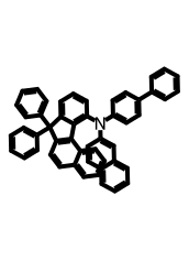 c1ccc(-c2ccc(N(c3ccc4ccccc4c3)c3cccc4c3-c3c(ccc5ccccc35)C4(c3ccccc3)c3ccccc3)cc2)cc1